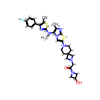 Cc1nc2sc(N3CCC4(CC3)CN(CC(=O)N3CC(O)C3)C4)cn2c1N(C)c1nc(-c2ccc(F)cc2)c(C#N)s1